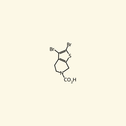 O=C(O)N1CCc2c(sc(Br)c2Br)C1